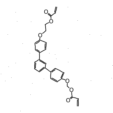 C=CC(=O)OCCOc1ccc(-c2cccc(-c3ccc(OCOC(=O)C=C)cc3)c2)cc1